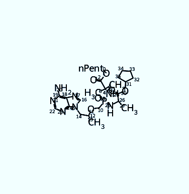 CCCCCOC(=O)C(C)(C)NP(=O)(COC(C)Cn1cnc2c(N)ncnc21)NC(C)C(=O)OC1CCCC1